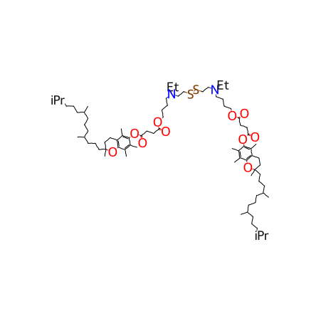 CCN(CCCCOC(=O)CCC(=O)Oc1c(C)c(C)c2c(c1C)CCC(C)(CCCC(C)CCCC(C)CCCC(C)C)O2)CCSSCCN(CC)CCCCOC(=O)CCC(=O)Oc1c(C)c(C)c2c(c1C)CCC(C)(CCCC(C)CCCC(C)CCCC(C)C)O2